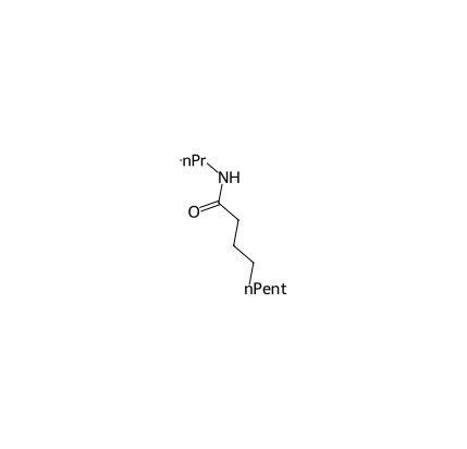 CC[CH]NC(=O)CCCCCCCC